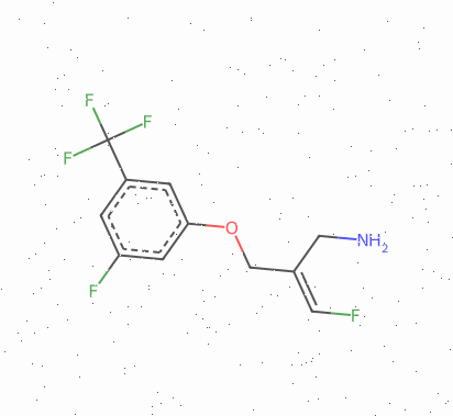 NC/C(=C\F)COc1cc(F)cc(C(F)(F)F)c1